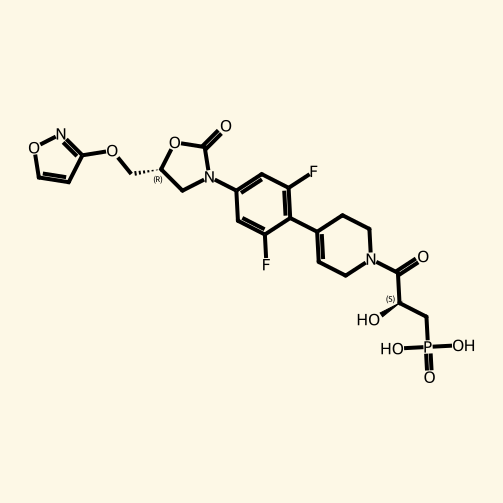 O=C([C@H](O)CP(=O)(O)O)N1CC=C(c2c(F)cc(N3C[C@H](COc4ccon4)OC3=O)cc2F)CC1